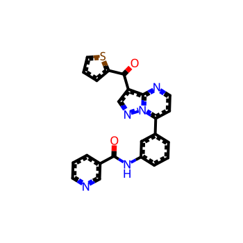 O=C(Nc1cccc(-c2ccnc3c(C(=O)c4cccs4)cnn23)c1)c1cccnc1